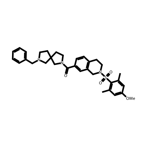 COc1cc(C)c(S(=O)(=O)N2CCc3ccc(C(=O)N4CCC5(CCN(Cc6ccccc6)C5)C4)cc3C2)c(C)c1